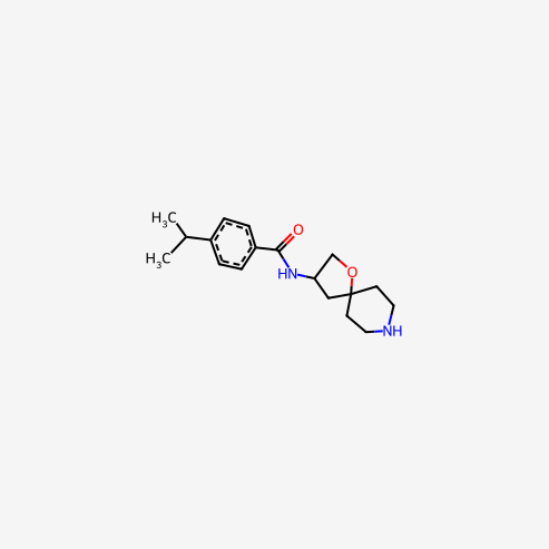 CC(C)c1ccc(C(=O)NC2COC3(CCNCC3)C2)cc1